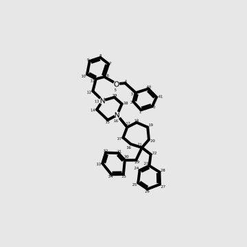 c1ccc(COc2ccccc2CN2CCN(C3CCCC(Cc4ccccc4)(Cc4ccccc4)CC3)CC2)cc1